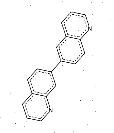 c1cnc2ccc(-c3ccc4cccnc4c3)cc2c1